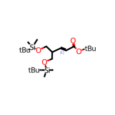 CC(C)(C)OC(=O)/C=C/C(CO[Si](C)(C)C(C)(C)C)CO[Si](C)(C)C(C)(C)C